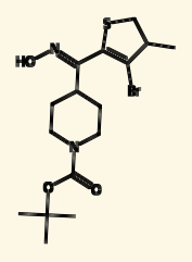 CC1CSC(/C(=N/O)C2CCN(C(=O)OC(C)(C)C)CC2)=C1Br